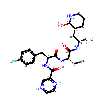 CC(C)C[C@H](NC(=O)[C@H](Cc1ccc(F)cc1)NC(=O)c1cnccn1)C(=O)N[C@H](C=O)C[C@@H]1CCCNC1O